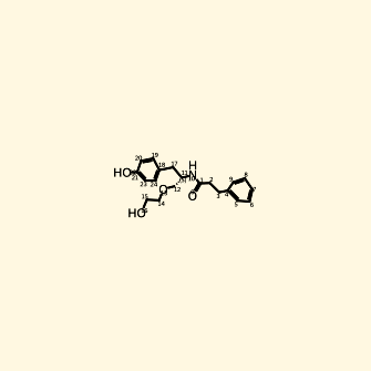 O=C(CCc1ccccc1)N[C@H](COCCO)Cc1ccc(O)cc1